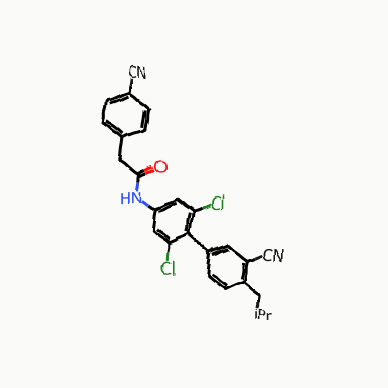 CC(C)Cc1ccc(-c2c(Cl)cc(NC(=O)Cc3ccc(C#N)cc3)cc2Cl)cc1C#N